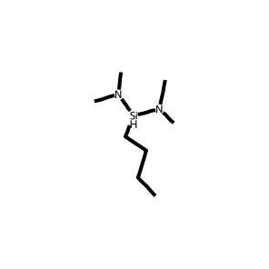 CCCC[SiH](N(C)C)N(C)C